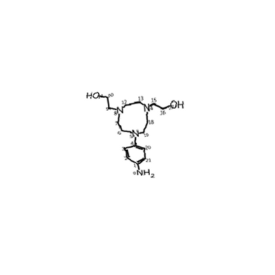 Nc1ccc(N2CCN(CCO)CCN(CCO)CC2)cc1